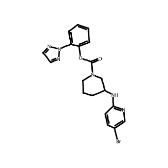 O=C(Oc1ccccc1-n1nccn1)N1CCCC(Nc2ccc(Br)cn2)C1